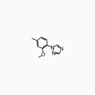 COc1cc(C)ccc1-n1cncn1